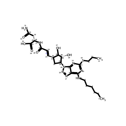 CCCCCCNc1nc(SCCC)nc2c1nnn2[C@H]1C[C@@H](/C=C/C(=O)N[C@@H](CC(N)=O)C(=O)O)C(O)[C@@H]1O